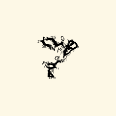 O=C(NC12CC3CC(C1)CC(NC(=O)c1cc(C4CC4)n[nH]1)(C3)C2)c1cnccn1